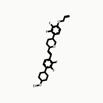 C=CCOc1ccc(C2CCC(/C=C/c3ccc(C4CCC(OCC)CC4)c(F)c3F)OC2)c(F)c1F